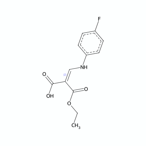 CCOC(=O)/C(=C\Nc1ccc(F)cc1)C(=O)O